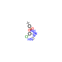 CC(C)(C)c1ccc(S(=O)(=O)Nc2ccc(Cl)cc2-c2nncn2[C@@H]2CCNC2)cc1